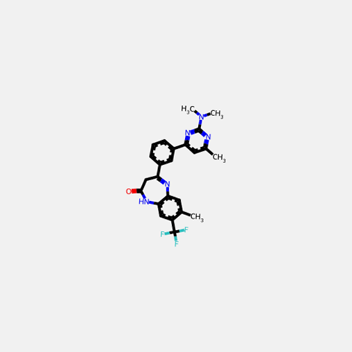 Cc1cc(-c2cccc(C3=Nc4cc(C)c(C(F)(F)F)cc4NC(=O)C3)c2)nc(N(C)C)n1